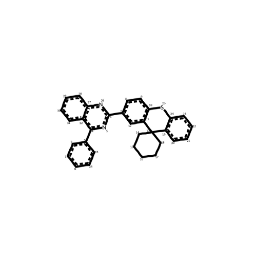 c1ccc(-c2nc(-c3ccc4c(c3)C3(CCCCC3)c3ccccc3S4)nc3ccccc23)cc1